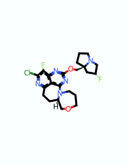 Fc1c(Cl)nc2c3c(nc(OC[C@@]45CCCN4C[C@H](F)C5)nc13)N1CCCOC[C@H]1CC2